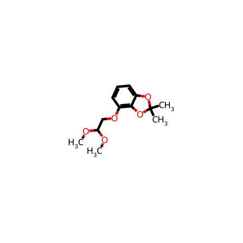 COC(COc1cccc2c1OC(C)(C)O2)OC